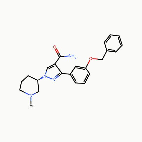 CC(=O)N1CCC[C@@H](n2cc(C(N)=O)c(-c3cccc(OCc4ccccc4)c3)n2)C1